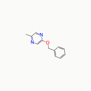 Cc1cnc(OCc2ccccc2)cn1